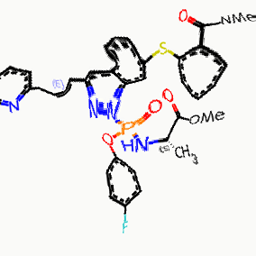 CNC(=O)c1ccccc1Sc1ccc2c(/C=C/c3ccccn3)nn(P(=O)(N[C@@H](C)C(=O)OC)Oc3ccc(F)cc3)c2c1